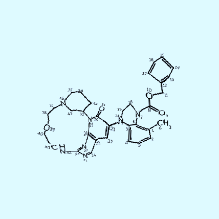 Cc1cccc2c1N(C(=O)OCc1ccccc1)CCN2c1cc2cnc3nc2n(c1=O)C1CCCN(CCOCCN3)C1